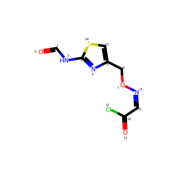 O=CNc1nc(CO/N=C\C(=O)Cl)cs1